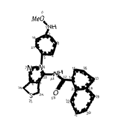 CONc1ccc(-n2nc3c(c2NC(=O)c2cccc4ccccc24)CSC3)cc1